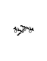 C=C(C)C(=O)OCCN(CCCC)SSSN(CCCC)CCOC(=O)C(=C)C